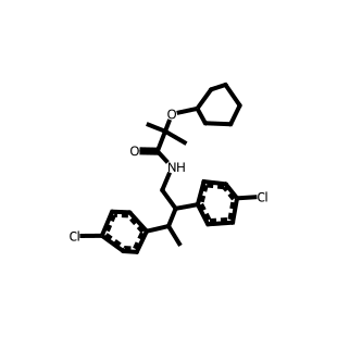 CC(c1ccc(Cl)cc1)C(CNC(=O)C(C)(C)OC1CCCCC1)c1ccc(Cl)cc1